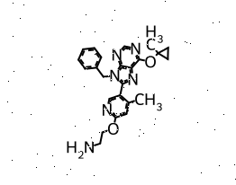 Cc1cc(OCCN)ncc1-c1nc2c(OC3(C)CC3)ncnc2n1Cc1ccccc1